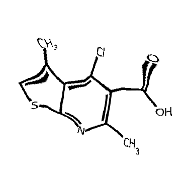 Cc1nc2scc(C)c2c(Cl)c1C(=O)O